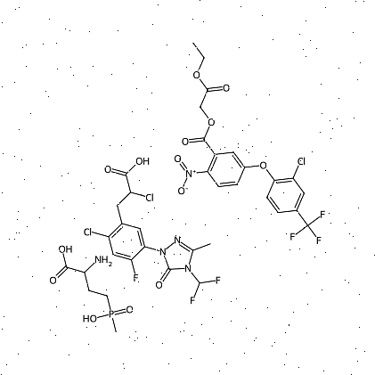 CCOC(=O)COC(=O)c1cc(Oc2ccc(C(F)(F)F)cc2Cl)ccc1[N+](=O)[O-].CP(=O)(O)CCC(N)C(=O)O.Cc1nn(-c2cc(CC(Cl)C(=O)O)c(Cl)cc2F)c(=O)n1C(F)F